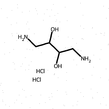 Cl.Cl.NCC(O)C(O)CN